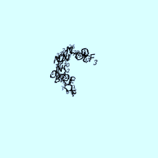 Cc1cc(OCc2ccc(F)cc2F)c(Br)c(=O)n1Cc1cnc(CN(C)CCOC(=O)C(F)(F)F)cn1